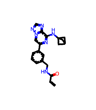 C=CC(=O)NCc1cccc(-c2cn3ncnc3c(NC34CC(C3)C4)n2)c1